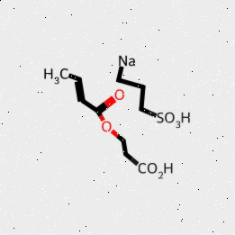 CC=CC(=O)OCCC(=O)O.O=S(=O)(O)CC[CH2][Na]